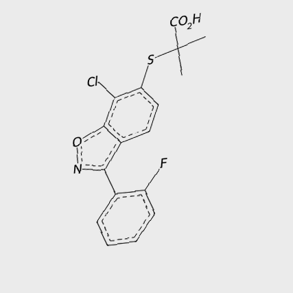 CC(C)(Sc1ccc2c(-c3ccccc3F)noc2c1Cl)C(=O)O